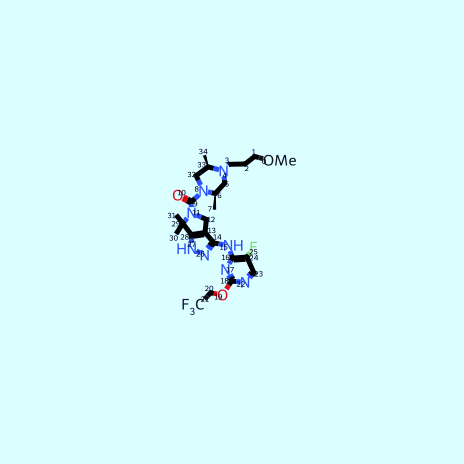 COCCCN1C[C@@H](C)N(C(=O)N2Cc3c(Nc4nc(OCC(F)(F)F)ncc4F)n[nH]c3C2(C)C)C[C@H]1C